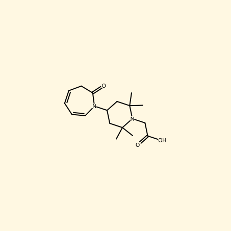 CC1(C)CC(N2C=CC=CCC2=O)CC(C)(C)N1CC(=O)O